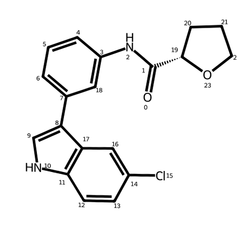 O=C(Nc1cccc(-c2c[nH]c3ccc(Cl)cc23)c1)[C@@H]1CCCO1